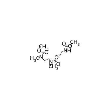 COC(=O)NCCOC(=O)N(C)CCN(C)C(=O)OC